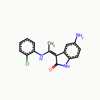 C/C(Nc1ccccc1Cl)=C1/C(=O)Nc2ccc(N)cc21